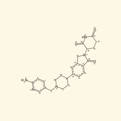 Nc1ccc(CN2CCC(c3ccc4c(c3)CN(C3CCC(=O)NC3=O)C4=O)CC2)cn1